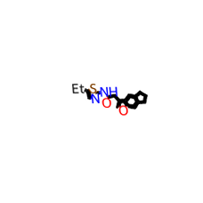 CCc1cnc(NC(=O)Cc2coc3cc4c(cc23)CCC4)s1